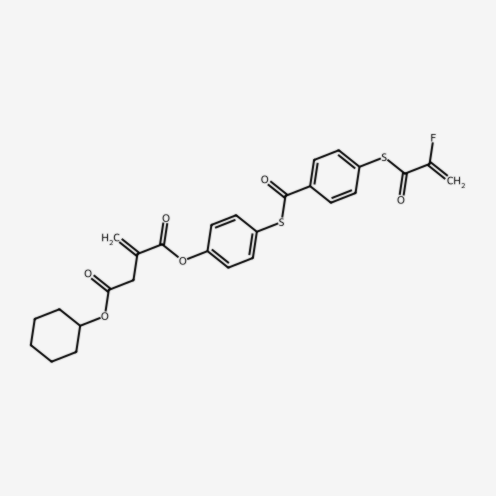 C=C(F)C(=O)Sc1ccc(C(=O)Sc2ccc(OC(=O)C(=C)CC(=O)OC3CCCCC3)cc2)cc1